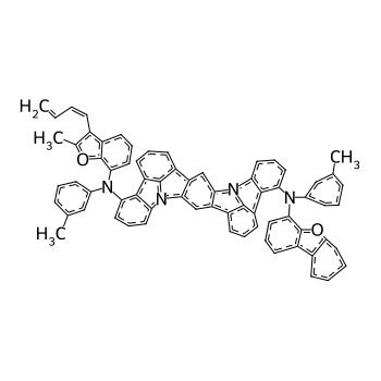 C=C/C=C\c1c(C)oc2c(N(c3cccc(C)c3)c3cccc4c3c3cccc5c6cc7c(cc6n4c53)c3cccc4c5c(N(c6cccc(C)c6)c6cccc8c6oc6ccccc68)cccc5n7c34)cccc12